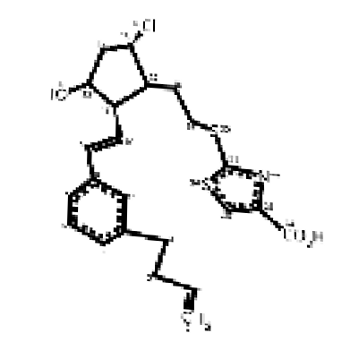 C=CCCc1cccc(C=C[C@H]2C(O)C[C@@H](Cl)C2CCSc2nc(C(=O)O)cs2)c1